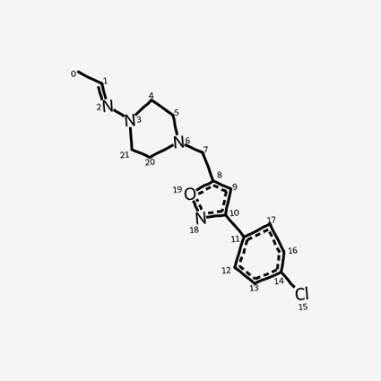 C/C=N/N1CCN(Cc2cc(-c3ccc(Cl)cc3)no2)CC1